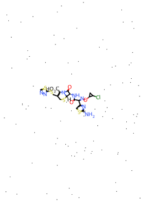 Nc1nc(C(=NOC2CC2Cl)C(=O)N[C@@H]2C(=O)N3C(C(=O)O)=C(CSc4nncs4)CS[C@@H]23)cs1